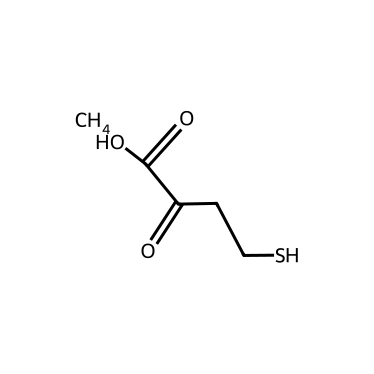 C.O=C(O)C(=O)CCS